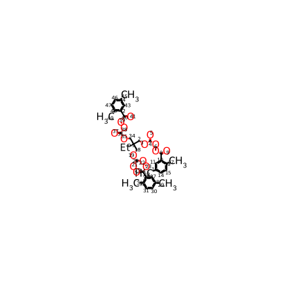 CCC(COC(=O)OOC(=O)c1cc(C)ccc1C)(COC(=O)OOC(=O)c1cc(C)ccc1C)COC(=O)OOC(=O)c1cc(C)ccc1C